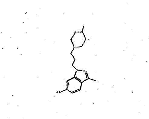 Cc1nn(CCCN2CCC(C)CC2)c2cc(N)ccc12